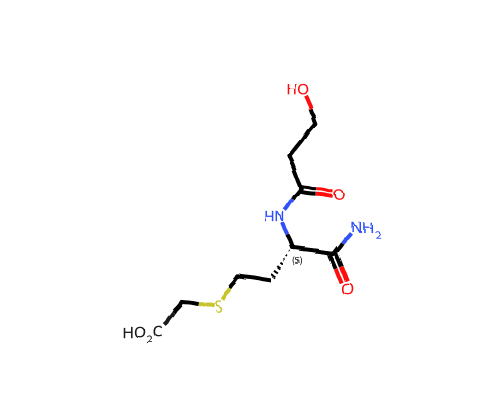 NC(=O)[C@H](CCSCC(=O)O)NC(=O)CCO